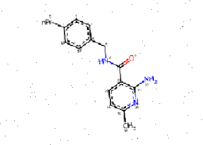 CCCc1ccc(CNC(=O)c2ccc(C)nc2N)cc1